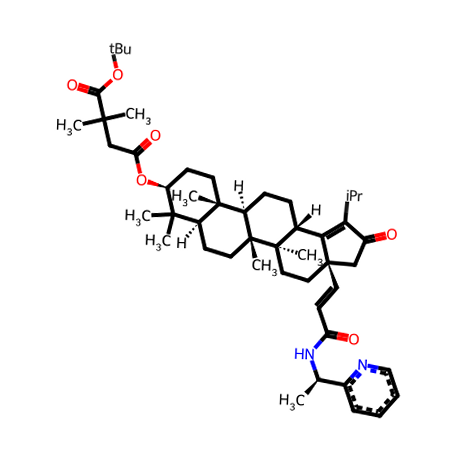 CC(C)C1=C2[C@H]3CC[C@@H]4[C@@]5(C)CC[C@H](OC(=O)CC(C)(C)C(=O)OC(C)(C)C)C(C)(C)[C@@H]5CC[C@@]4(C)[C@]3(C)CC[C@@]2(C=CC(=O)N[C@H](C)c2ccccn2)CC1=O